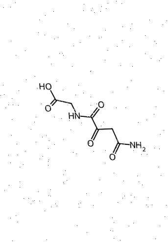 NC(=O)CC(=O)C(=O)NCC(=O)O